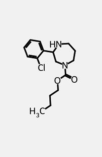 CCCCOC(=O)N1CCCNC(c2ccccc2Cl)C1